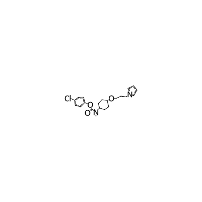 CN(C(=O)Oc1ccc(Cl)cc1)C1CCC(OCCCn2cccc2)CC1